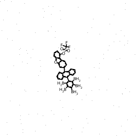 Bc1c(B)c(B)c(-c2c3ccccc3c(-c3ccc4c(c3)oc3cccc(OS(=O)(=O)C(F)(F)F)c34)c3ccccc23)c(B)c1B